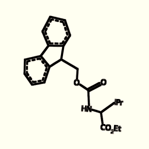 CCOC(=O)C(NC(=O)OCC1c2ccccc2-c2ccccc21)C(C)C